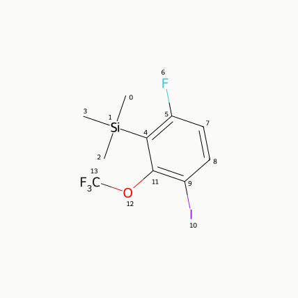 C[Si](C)(C)c1c(F)ccc(I)c1OC(F)(F)F